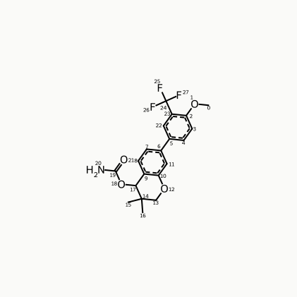 COc1ccc(-c2ccc3c(c2)OCC(C)(C)C3OC(N)=O)cc1C(F)(F)F